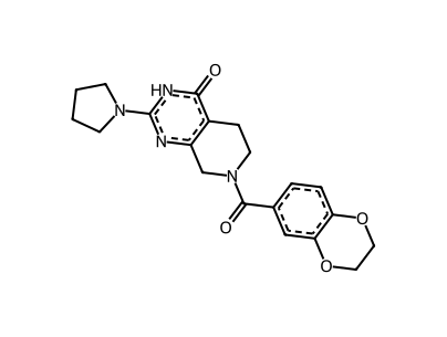 O=C(c1ccc2c(c1)OCCO2)N1CCc2c(nc(N3CCCC3)[nH]c2=O)C1